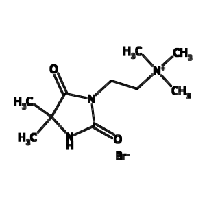 CC1(C)NC(=O)N(CC[N+](C)(C)C)C1=O.[Br-]